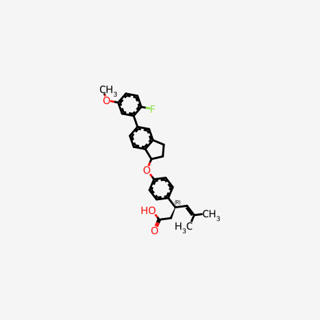 COc1ccc(F)c(-c2ccc3c(c2)CCC3Oc2ccc([C@@H](C=C(C)C)CC(=O)O)cc2)c1